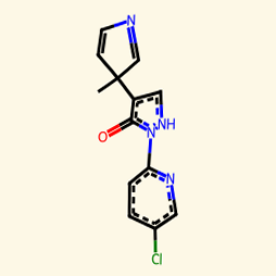 CC1(c2c[nH]n(-c3ccc(Cl)cn3)c2=O)C=CN=C1